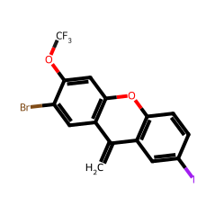 C=C1c2cc(I)ccc2Oc2cc(OC(F)(F)F)c(Br)cc21